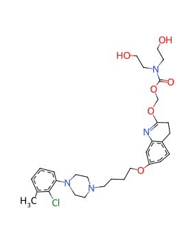 Cc1cccc(N2CCN(CCCCOc3ccc4c(c3)N=C(OCOC(=O)N(CCO)CCO)CC4)CC2)c1Cl